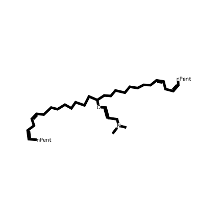 CCCCC/C=C\C/C=C\CCCCCCCCC(CCCCCCCC/C=C\C/C=C\CCCCC)O/C=C/CN(C)C